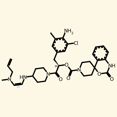 C=CCN(C)/C=C\NC1CCN(C(=O)[C@@H](Cc2cc(C)c(N)c(Cl)c2)OC(=O)N2CCC3(CC2)OC(=O)Nc2ccccc23)CC1